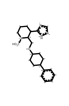 O=C(O)N1CCCC(c2ncn[nH]2)C1COC1CCC(c2ccccc2)CC1